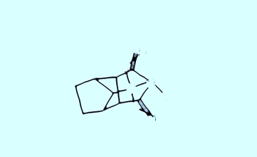 CCO[Si](OCC)(OCC)C1C2CCC1C1C(=O)OC(=O)C21